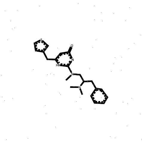 CN(CC(Cc1ccccc1)N(C)C)c1nc(=O)cc(Cc2ccsc2)[nH]1